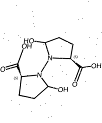 O=C(O)[C@@H]1CCC(O)N1N1C(O)CC[C@H]1C(=O)O